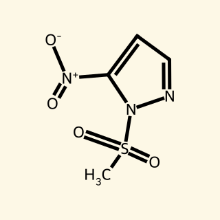 CS(=O)(=O)n1nccc1[N+](=O)[O-]